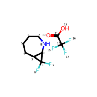 FC1(F)C2CCCCNC21.O=C(O)C(F)(F)F